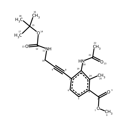 COC(=O)c1ccc(C#CCNC(=O)OC(C)(C)C)c(NC(C)=O)c1C